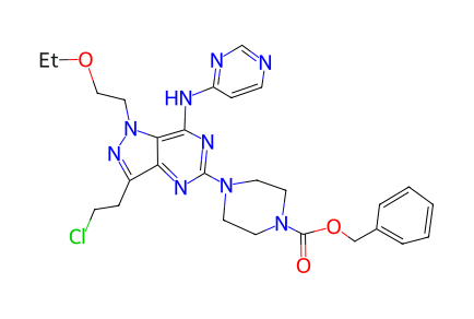 CCOCCn1nc(CCCl)c2nc(N3CCN(C(=O)OCc4ccccc4)CC3)nc(Nc3ccncn3)c21